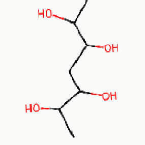 CC(O)C(O)CC(O)C(C)O